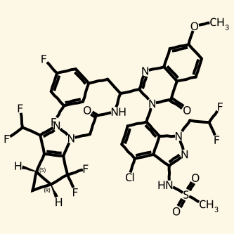 COc1ccc2c(=O)n(-c3ccc(Cl)c4c(NS(C)(=O)=O)nn(CC(F)F)c34)c(C(Cc3cc(F)cc(F)c3)NC(=O)Cn3nc(C(F)F)c4c3C(F)(F)[C@@H]3C[C@H]43)nc2c1